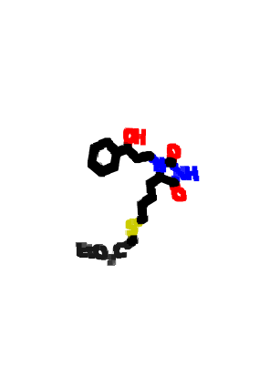 CCOC(=O)CSCCCCC1C(=O)NC(=O)N1CCC(O)C1CCCCC1